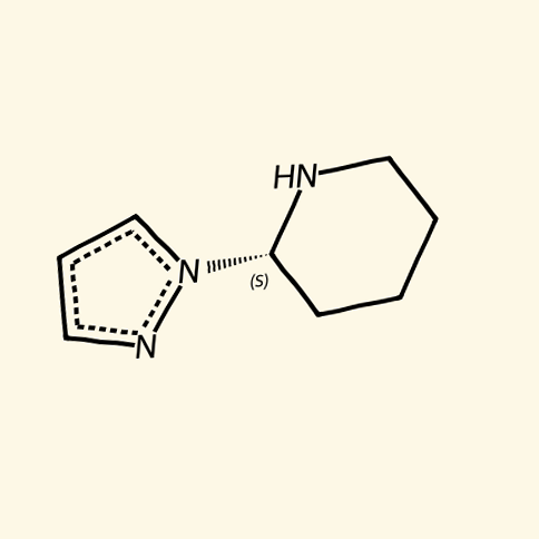 c1cnn([C@H]2CCCCN2)c1